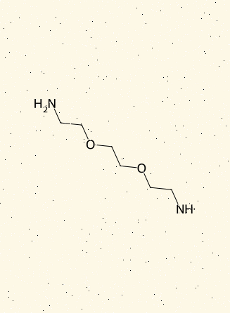 [NH]CCOCCOCCN